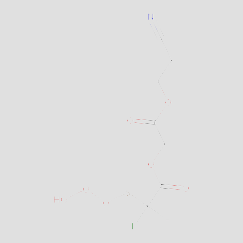 N#CCCOC(=O)COC(=O)C(F)(F)SOOO